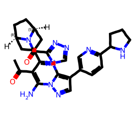 CC(=O)c1c(C2C[C@H]3CC[C@@H](C2)N3C(=O)c2nnc[nH]2)nc2c(-c3ccc(C4CCCN4)nc3)cnn2c1N